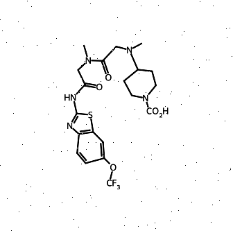 CN(CC(=O)Nc1nc2ccc(OC(F)(F)F)cc2s1)C(=O)CN(C)C1CCN(C(=O)O)CC1